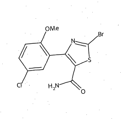 COc1ccc(Cl)cc1-c1nc(Br)sc1C(N)=O